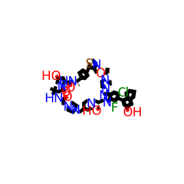 C=CC(=O)N1CCN(c2nc([C@H](CO)CN3CCC(CN4CCN(CC(=O)N[C@H](C(=O)N5CC(O)CC5C(=O)N[C@@H](C)c5ccc(-c6scnc6C)cc5)C(C)(C)C)CC4)CC3)nc3c(F)c(-c4cc(O)cc5ccccc45)c(Cl)cc23)CC1